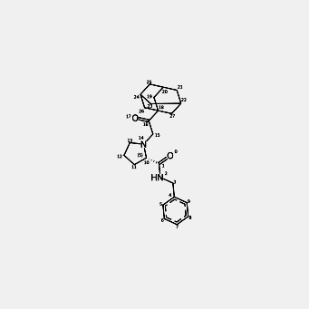 O=C(NCc1ccccc1)[C@@H]1CCCN1CC(=O)C12CC3CC(CC(C3)C1)C2